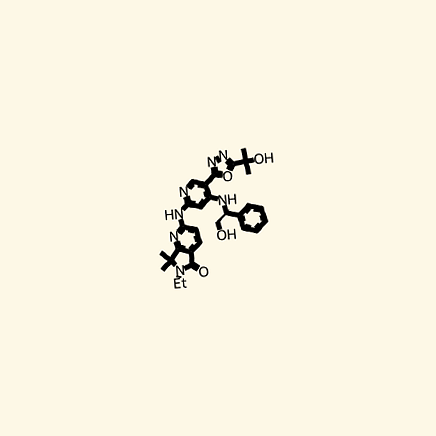 CCN1C(=O)c2ccc(Nc3cc(N[C@H](CO)c4ccccc4)c(-c4nnc(C(C)(C)O)o4)cn3)nc2C1(C)C